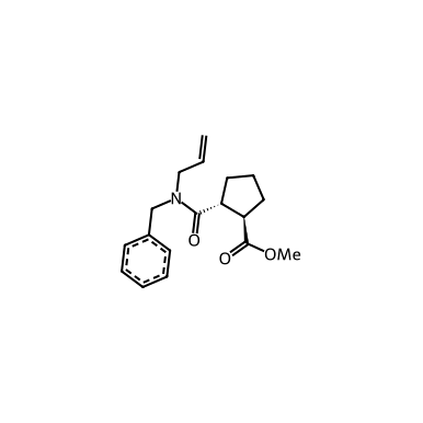 C=CCN(Cc1ccccc1)C(=O)[C@@H]1CCC[C@H]1C(=O)OC